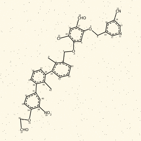 Cc1c(COc2cc(OCc3cncc(C#N)c3)c(C=O)cc2Cl)cccc1-c1cccc(-c2ccc(OCC=O)c([N+](=O)[O-])c2)c1C